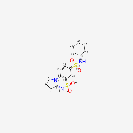 O=S1(=O)N=C2CCCN2c2ccc(S(=O)(=O)NC3CCCCC3)cc21